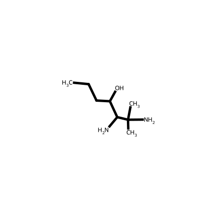 CCCC(O)C(N)C(C)(C)N